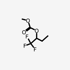 CCC(OC(=O)OC)C(F)(F)F